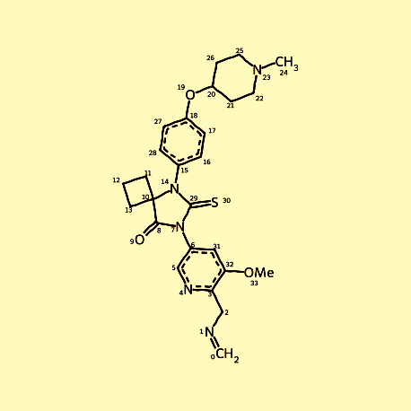 C=NCc1ncc(N2C(=O)C3(CCC3)N(c3ccc(OC4CCN(C)CC4)cc3)C2=S)cc1OC